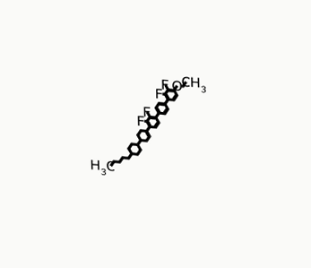 CCCCCC1CCC(C2CC=C(c3ccc(-c4ccc(-c5ccc(OCC)c(F)c5F)cc4)c(F)c3F)CC2)CC1